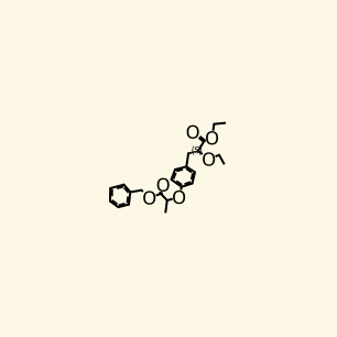 CCOC(=O)[C@H](Cc1ccc(OC(C)C(=O)OCc2ccccc2)cc1)OCC